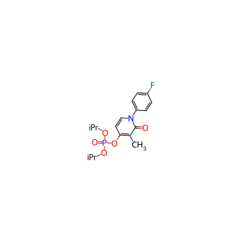 Cc1c(OP(=O)(OC(C)C)OC(C)C)ccn(-c2ccc(F)cc2)c1=O